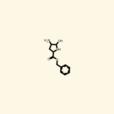 NC1CC(C(=O)OCc2ccccc2)NC1O